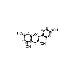 Oc1ccc([C@@H]2Oc3cc(O)cc(O)c3C[C@H]2O)cc1